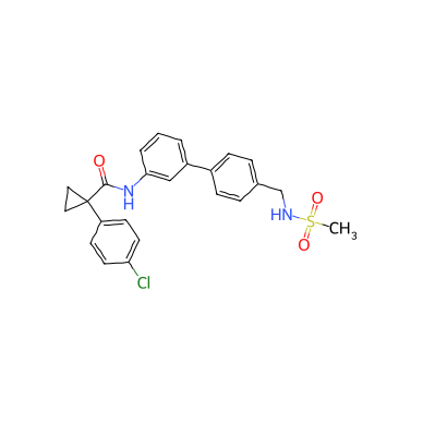 CS(=O)(=O)NCc1ccc(-c2cccc(NC(=O)C3(c4ccc(Cl)cc4)CC3)c2)cc1